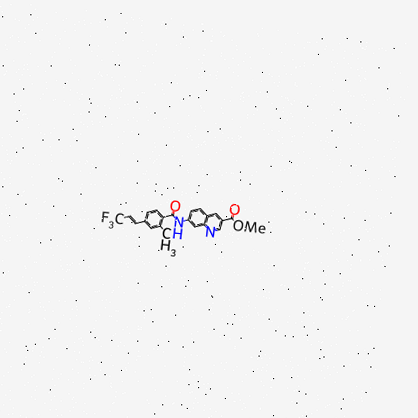 COC(=O)c1cnc2cc(NC(=O)c3ccc(C=CC(F)(F)F)cc3C)ccc2c1